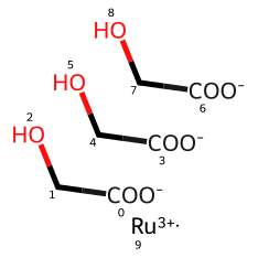 O=C([O-])CO.O=C([O-])CO.O=C([O-])CO.[Ru+3]